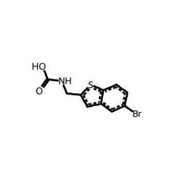 O=C(O)NCc1cc2cc(Br)ccc2s1